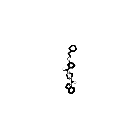 O=C(c1cccc(OCCC2CCCCC2)c1)N1CCN(C(=O)n2ccc3ccccc32)CC1